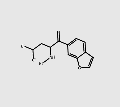 C=C(c1ccc2ccoc2c1)C(CC(Cl)Cl)NCC